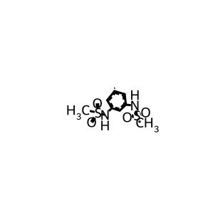 CS(=O)(=O)Nc1c[c]cc(NS(C)(=O)=O)c1